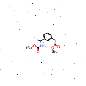 CC(NC(=O)OC(C)(C)C)c1cccc(CC(=O)OC(C)(C)C)c1